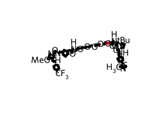 COc1cnc(C(=O)NCc2cccc(CC(=O)NCCOCCOCCOCCOCCOCC(=O)NC(C(=O)N3CCC[C@H]3C(=O)NCc3ccc(-c4scnc4C)cc3)C(C)(C)C)c2)cc1/C=C/[C@H]1CC[C@H](C(F)(F)F)CC1